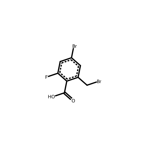 O=C(O)c1c(F)cc(Br)cc1CBr